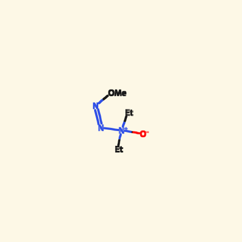 CC[N+]([O-])(CC)/N=N\OC